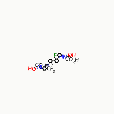 Cc1c(/C=C/c2cc(CNC(C)(CO)C(=O)O)ccc2C(F)(F)F)cccc1-c1cccc(-c2cc(CNC(C)(CO)C(=O)O)ccc2F)c1C